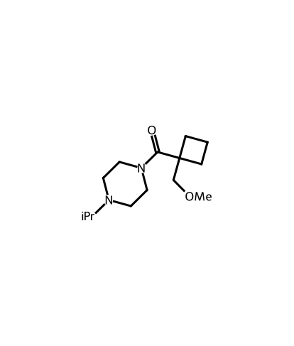 COCC1(C(=O)N2CCN(C(C)C)CC2)CCC1